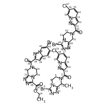 CC1c2nnc(Br)n2CCN1C(=O)c1cc2ccc(Cl)cn2n1.CCOC(=O)c1nnc2n1CCN(C(=O)c1cc3ccc(Br)cn3n1)C2.O=C(c1cc2ccc(Cl)cn2n1)N1CCn2c(Br)nnc2C1